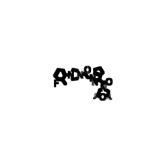 Cc1c(F)cccc1N1CCN(C(=O)Cn2nc(C(=O)N3C[C@@H](C)O[C@@H](C)C3)c3c2CCC3)CC1